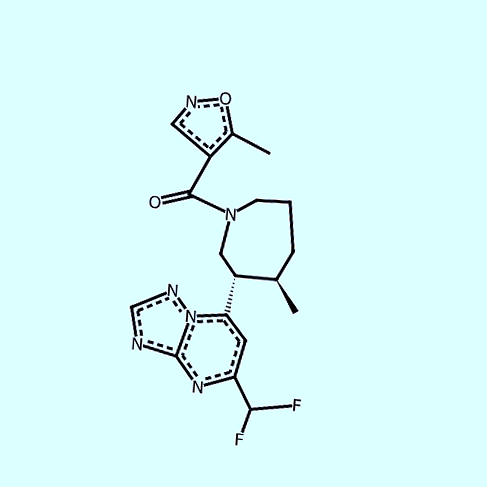 Cc1oncc1C(=O)N1CCC[C@@H](C)[C@H](c2cc(C(F)F)nc3ncnn23)C1